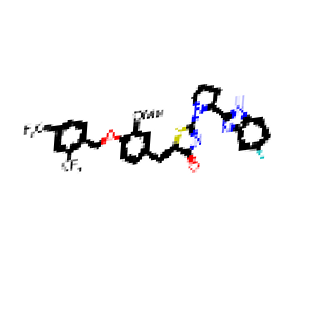 COc1cc(C=C2SC(N3CCCC3c3nc4cc(F)ccc4[nH]3)=NC2=O)ccc1OCc1ccc(C(F)(F)F)cc1C(F)(F)F